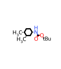 C[C@@H]1CC[C@H](NC(=O)OC(C)(C)C)C[C@@H]1C